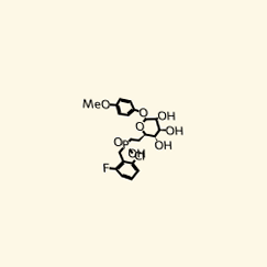 COc1ccc(O[C@H]2O[C@H](CCP(=O)(O)Cc3c(F)cccc3Cl)[C@@H](O)[C@H](O)[C@@H]2O)cc1